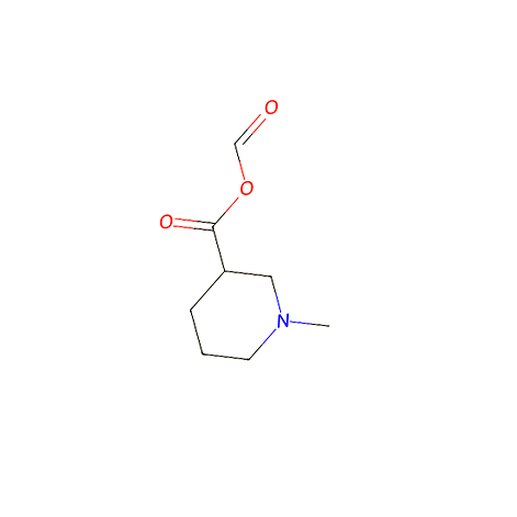 CN1CCCC(C(=O)OC=O)C1